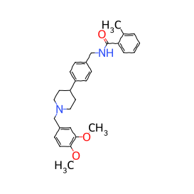 COc1ccc(CN2CCC(c3ccc(CNC(=O)c4ccccc4C)cc3)CC2)cc1OC